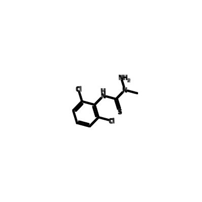 CN(N)C(=S)Nc1c(Cl)cccc1Cl